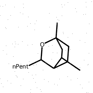 CCCCCC1OC2(C)CCC1C(C)C2